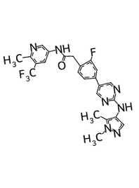 Cc1ncc(NC(=O)Cc2ccc(-c3cnc(Nc4cnn(C)c4C)nc3)cc2F)cc1C(F)(F)F